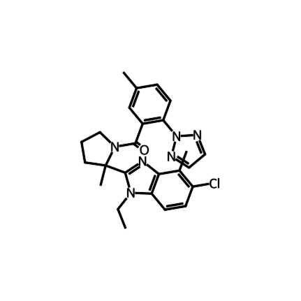 CCn1c(C2(C)CCCN2C(=O)c2cc(C)ccc2-n2nccn2)nc2c(C)c(Cl)ccc21